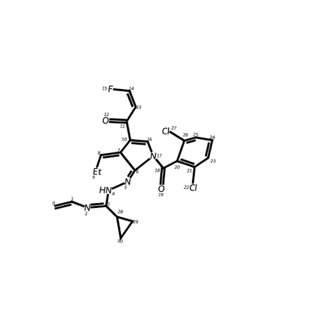 C=C/N=C(\N/N=C1\C(=C/CC)C(C(=O)/C=C\F)=CN1C(=O)c1c(Cl)cccc1Cl)C1CC1